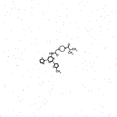 Cc1ccc(-c2nc(NC(=O)CN3CCN(C(=O)C(C)C)CC3)cc(-c3nccs3)n2)o1